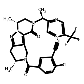 C[C@@H]1Cc2nn3c(c2CN1C(=O)c1ccc(Cl)c(C#N)c1)C(=O)N([C@@H](C)c1cnc(C(F)(F)F)cn1)C[C@H]3C